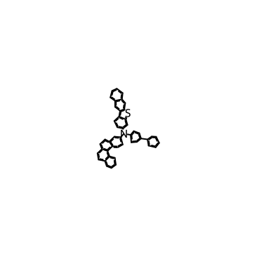 c1ccc(-c2ccc(N(c3ccc4c(ccc5ccc6ccccc6c54)c3)c3ccc4c(c3)sc3cc5ccccc5cc34)cc2)cc1